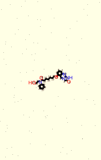 O=C1CN2Cc3c(cccc3OCCCCCCC(=O)N(CCO)c3ccccc3)N=C2N1